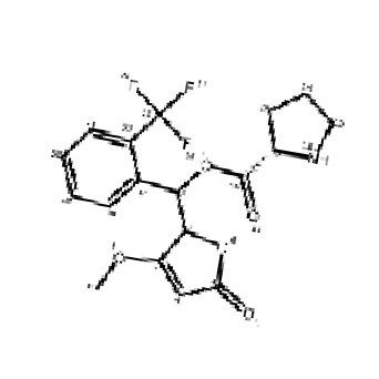 COC1=CC(=O)OC1C(OC(=O)[C@@H]1CCCN1)c1ccccc1C(F)(F)F